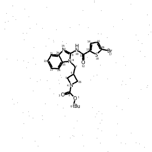 CC(C)(C)OC(=O)N1CC(Cn2c(NC(=O)c3ccc(Br)s3)nc3ccccc32)C1